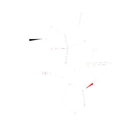 CO[C@H]1C[C@H](C)OC12COP(=O)(O[C@H]1C[C@H](C)O[C@@H]1CO)OC2